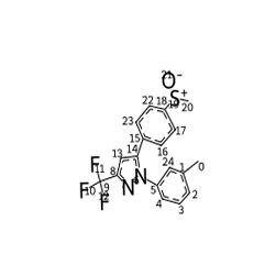 Cc1cccc(-n2nc(C(F)(F)F)cc2-c2ccc([S+](C)[O-])cc2)c1